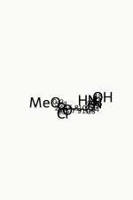 COc1ccc(OCCCCCCc2ccc3nc(O)[nH]c3c2)c(Cl)c1